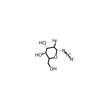 [N-]=[N+]=N[C@@H]1OC(CO)[C@@H](O)[C@H](O)C1[18F]